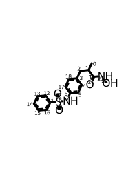 CC(Cc1ccc(NS(=O)(=O)c2ccccc2)cc1)C(=O)NO